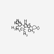 Cc1c(C2CCC3(CCC3)CC2)sc2[nH]c(-c3cc(C)c4ncnn4c3)c(C(C)C)c12